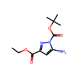 CCOC(=O)c1cc(N)n(C(=O)OC(C)(C)C)n1